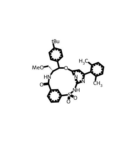 COC[C@H]1NC(=O)c2cccc(c2)S(=O)(=O)Nc2nc(cc(-c3c(C)cccc3C)n2)OC1c1ccc(C(C)(C)C)cc1